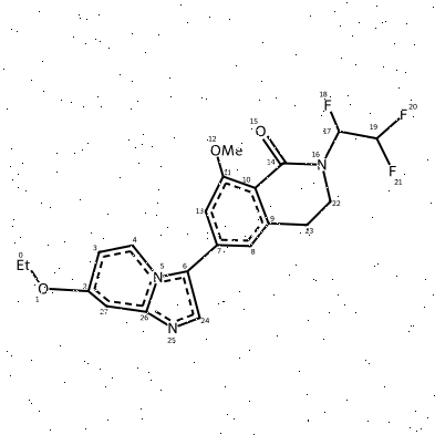 CCOc1ccn2c(-c3cc4c(c(OC)c3)C(=O)N(C(F)C(F)F)CC4)cnc2c1